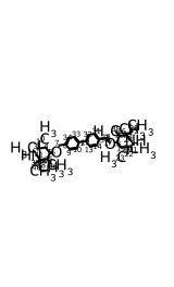 CCC1(C)CC(OCc2ccc(-c3ccc(COC4CC(C)(CC)NC(C)(CC)C4C)cc3)cc2)C(C)C(C)(CC)N1